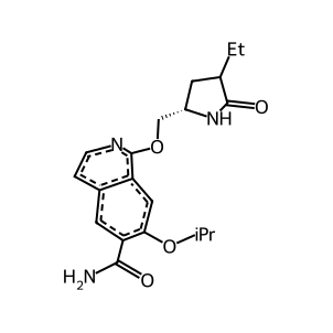 CCC1C[C@@H](COc2nccc3cc(C(N)=O)c(OC(C)C)cc23)NC1=O